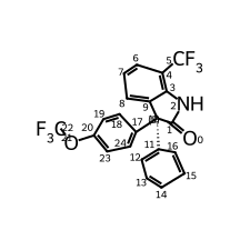 O=C1Nc2c(C(F)(F)F)cccc2[C@]1(c1ccccc1)c1ccc(OC(F)(F)F)cc1